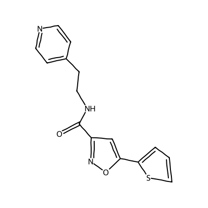 O=C(NCCc1ccncc1)c1cc(-c2cccs2)on1